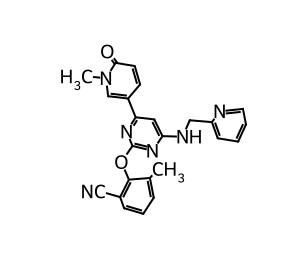 Cc1cccc(C#N)c1Oc1nc(NCc2ccccn2)cc(-c2ccc(=O)n(C)c2)n1